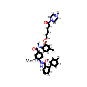 COc1cc(C(=O)N(C)c2ccc(C)cc2OCCCCCC(=O)N2CCN(C)CC2)ccc1NC(=O)c1ccccc1-c1ccc(C)cc1